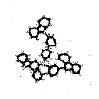 c1ccc(-c2ccc(-c3cc4ccccc4c4ccccc34)cc2N(c2ccc(-c3cccc(-n4c5ccccc5c5ccccc54)c3)cc2)c2ccc3sc4ccccc4c3c2)cc1